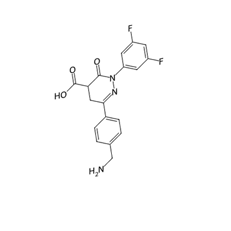 NCc1ccc(C2=NN(c3cc(F)cc(F)c3)C(=O)C(C(=O)O)C2)cc1